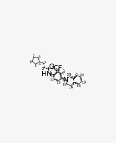 O=C(CCC1CCCC1)Nc1ccc(N2CCc3ccccc3C2)cc1C(F)(F)F